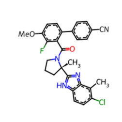 COc1ccc(-c2ccc(C#N)cc2)c(C(=O)N2CCC[C@@]2(C)c2nc3c(C)c(Cl)ccc3[nH]2)c1F